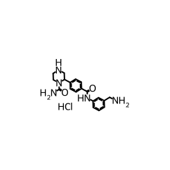 Cl.NCc1cccc(NC(=O)c2ccc(C3CNCCN3C(N)=O)cc2)c1